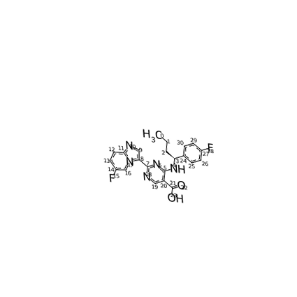 CCC[C@H](Nc1nc(-c2cnc3ccc(F)cn23)ncc1C(=O)O)c1ccc(F)cc1